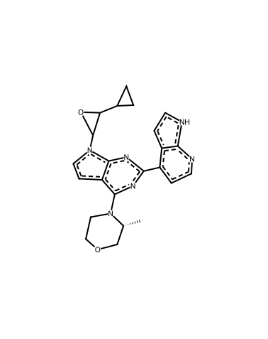 C[C@@H]1COCCN1c1nc(-c2ccnc3[nH]ccc23)nc2c1ccn2C1OC1C1CC1